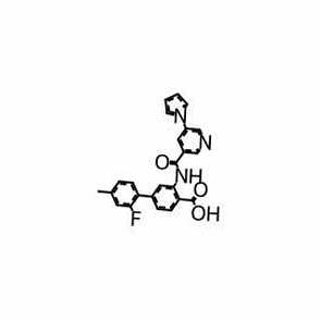 Cc1ccc(-c2ccc(C(=O)O)c(NC(=O)c3cncc(-n4cccc4)c3)c2)c(F)c1